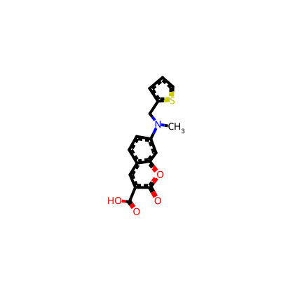 CN(Cc1cccs1)c1ccc2cc(C(=O)O)c(=O)oc2c1